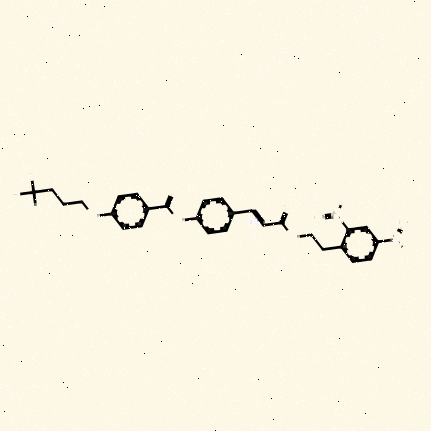 O=C(/C=C/c1ccc(OC(=O)c2ccc(OCCCC(F)(F)F)cc2)cc1)OCCc1ccc([N+](=O)[O-])cc1[N+](=O)[O-]